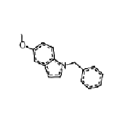 COc1ccc2c(ccn2Cc2ccccc2)c1